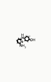 Nc1cccc(N[C@H]2CC[C@H](O)CC2)n1